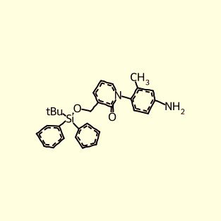 Cc1cc(N)ccc1-n1cccc(CO[Si](c2ccccc2)(c2ccccc2)C(C)(C)C)c1=O